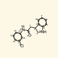 O=C(CC1CNc2ccccc21)Nc1cccc(Cl)c1